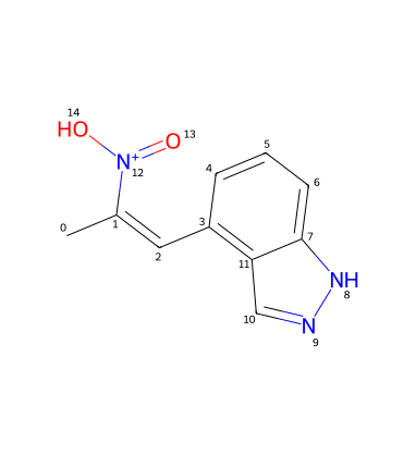 C/C(=C/c1cccc2[nH]ncc12)[N+](=O)O